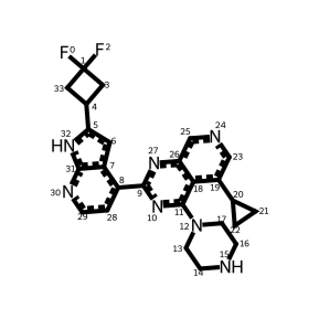 FC1(F)CC(c2cc3c(-c4nc(N5CCNCC5)c5c(C6CC6)cncc5n4)ccnc3[nH]2)C1